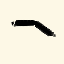 FC(F)(F)C(F)(F)C(F)(F)C(F)(F)C(F)(F)C(F)(F)C(F)(F)C(F)(F)C(F)(F)C(F)(F)C(F)(F)C(F)(F)C(F)(F)C(F)(F)C(F)(F)C(F)(F)n1cc[n+](C(F)(F)C(F)(F)C(F)(F)C(F)(F)C(F)(F)C(F)(F)C(F)(F)C(F)(F)C(F)(F)C(F)(F)C(F)(F)C(F)(F)C(F)(F)C(F)(F)C(F)(F)C(F)(F)F)c1